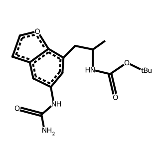 CC(Cc1cc(NC(N)=O)cc2ccoc12)NC(=O)OC(C)(C)C